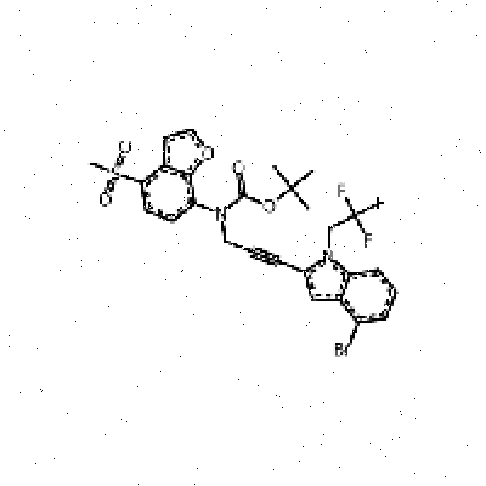 CC(C)(C)OC(=O)N(CC#Cc1cc2c(Br)cccc2n1CC(F)(F)F)c1ccc(S(C)(=O)=O)c2ccoc12